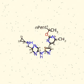 CCCCCC(C)Oc1nc(C)cc(-c2cnc(Nc3cnc(CNC4CC4)cn3)s2)n1